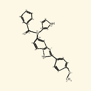 COc1ccc(-c2nc3cc(N(C(=O)c4ccccc4)c4cc[nH]c4)ccc3[nH]2)cc1